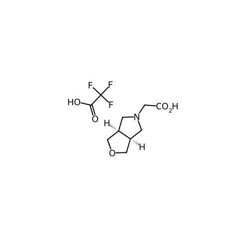 O=C(O)C(F)(F)F.O=C(O)CN1C[C@H]2COC[C@H]2C1